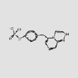 O=P(O)(O)Oc1ccc(CC2=CN=CC3=NNC=CN23)cc1